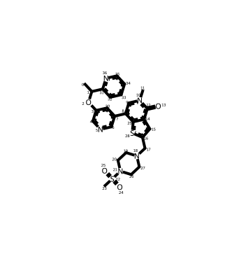 CC(Oc1cncc(-c2cn(C)c(=O)c3cc(CN4CCN(S(C)(=O)=O)CC4)sc23)c1)c1ccccn1